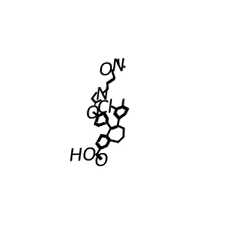 Cc1ccc(C2=C(c3ccc(O[C@H]4CCN(CC=CC(=O)N(C)C)C4)cc3)c3ccc(C(=O)O)cc3CCC2)cc1Cl